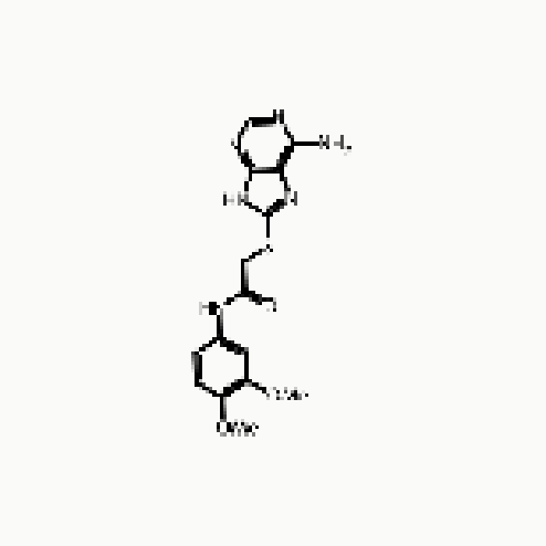 COc1ccc(NC(=O)CSc2nc3c(N)ncnc3[nH]2)cc1OC